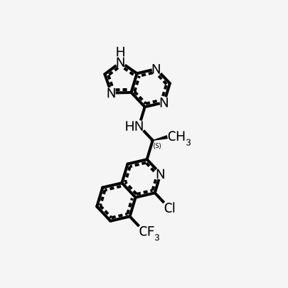 C[C@H](Nc1ncnc2[nH]cnc12)c1cc2cccc(C(F)(F)F)c2c(Cl)n1